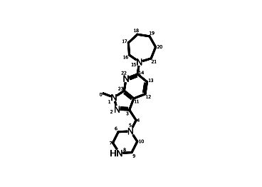 Cn1nc(CN2CCNCC2)c2ccc(N3CCCCCC3)nc21